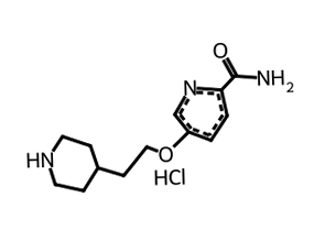 Cl.NC(=O)c1ccc(OCCC2CCNCC2)cn1